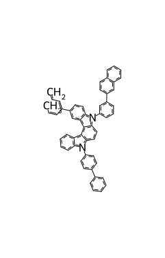 C=C/C=C(\C=C/C)c1ccc2c(c1)c1c3c4ccccc4n(-c4ccc(-c5ccccc5)cc4)c3ccc1n2-c1cccc(-c2ccc3ccccc3c2)c1